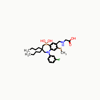 CCCCC1(CCCC)CN(c2cccc(F)c2)c2cc(SC)c(CNCC(=O)O)cc2S(O)(O)C1